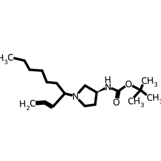 C=C=CC(CCCCCC)N1CC[C@H](NC(=O)OC(C)(C)C)C1